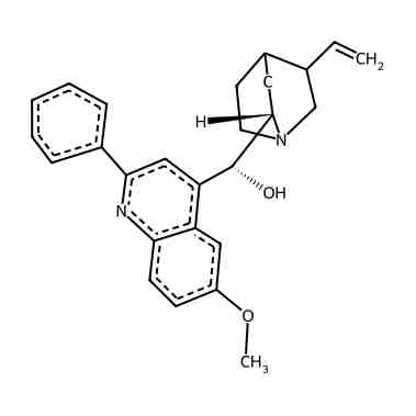 C=CC1CN2CCC1C[C@H]2[C@H](O)c1cc(-c2ccccc2)nc2ccc(OC)cc12